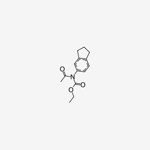 CCOC(=O)N(C(C)=O)c1ccc2c(c1)CCC2